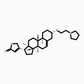 C[C@]12CC[C@H]3[C@@H](CC=C4C[C@@H](SCCN5CCCC5)CC[C@@]43C)[C@@H]1CC[C@@H]2C1=CC(=O)OC1